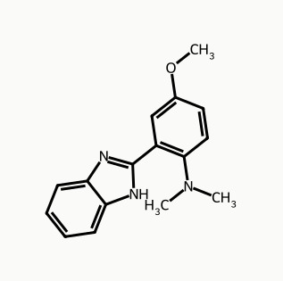 COc1ccc(N(C)C)c(-c2nc3ccccc3[nH]2)c1